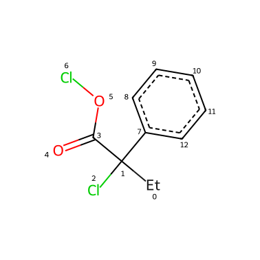 CCC(Cl)(C(=O)OCl)c1ccccc1